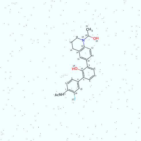 CC(=O)Nc1ccc(-c2cccc(-c3ccc4c(c3)CCCN4C(C)O)c2O)cc1F